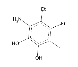 CCc1c(C)c(O)c(O)c(N)c1CC